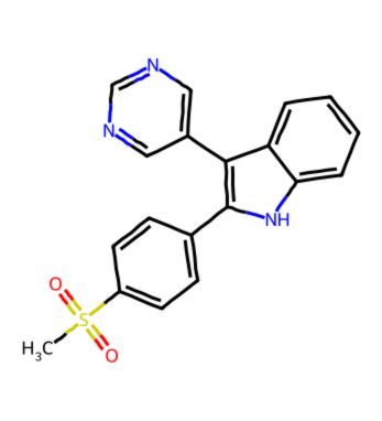 CS(=O)(=O)c1ccc(-c2[nH]c3ccccc3c2-c2cncnc2)cc1